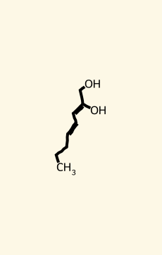 CCCC=CC=C(O)CO